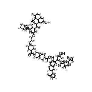 C#Cc1c(F)ccc2cc(O)cc(-c3ncc4c(N5CC6CCC(C5)N6)nc(OCCCN5CCC(C(=O)N6CCC7(CCN(C(=O)C[C@H](NC(=O)C8C[C@@H](O)CN8C(=O)C(NC(=O)C8(F)CC8)C(C)(C)C)c8ccc(-c9scnc9C)cc8)CC7)CC6)CC5)nc4c3F)c12